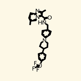 Cc1ccc2nc(C)c(C(=O)NCc3ccc(N4CCC(c5ccc(OC(F)(F)F)cc5)CC4)cc3)n2c1